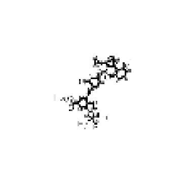 COC(=O)c1cc(C#Cc2ccc(OCc3c(-c4c(Cl)cccc4Cl)noc3C3CC3)cc2Cl)c2ccn(CC(C)(C)O)c2c1